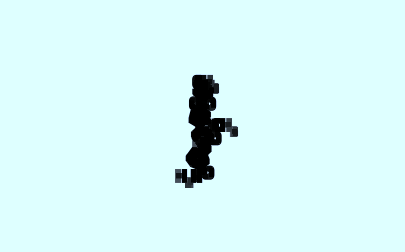 Cn1cc(S(=O)(=O)c2ccc3c4cnn(Cc5cccc(C(N)=O)c5)c(=O)c4n(C)c3c2)cn1